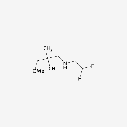 COCC(C)(C)CNCC(F)F